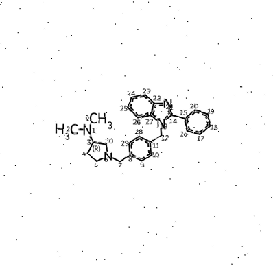 CN(C)[C@@H]1CCN(Cc2ccc(Cn3c(-c4ccccc4)nc4ccccc43)cc2)C1